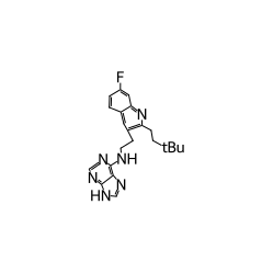 CC(C)(C)CCc1nc2cc(F)ccc2cc1CCNc1ncnc2[nH]cnc12